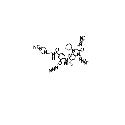 N#CN1CCN(CCNC(=O)c2ccc(N(N)c3ccc4c(n3)N(C3CCCCC3)[C@H](CN=[N+]=[N-])C(=O)N4CN=[N+]=[N-])c(OCN=[N+]=[N-])c2)CC1